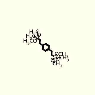 CO[Si](C)(CCc1ccc(CC[Si](OC)(OC)OC)cc1)OC